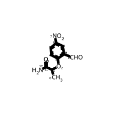 CC(Oc1ccc([N+](=O)[O-])cc1C=O)C(N)=O